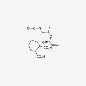 C=CC(=O)OC(C)CN=C=O.O=C(O)C1CCCCC1C(=O)O